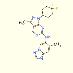 Cc1cc2ncnn2cc1Nc1ncc2c(C)nn(C3CCC(F)(F)CC3)c2n1